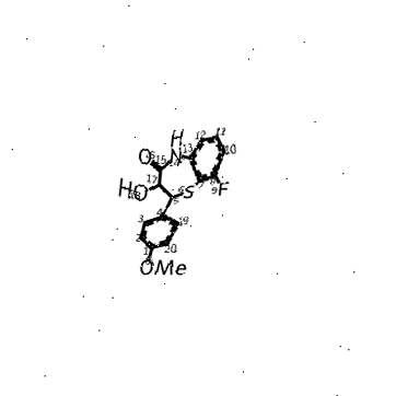 COc1ccc(C2Sc3c(F)cccc3NC(=O)C2O)cc1